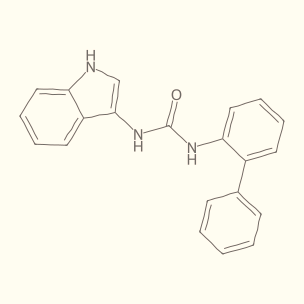 O=C(Nc1ccccc1-c1ccccc1)Nc1c[nH]c2ccccc12